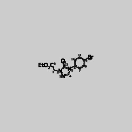 CCOC(=O)Cn1ncn(-c2ccc(Br)cc2)c1=O